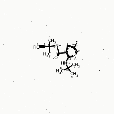 C#CC(C)(C)NC(=O)c1cc(Cl)cnc1NC(C)(C)C